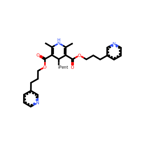 CCCC(C)C1C(C(=O)OCCCc2cccnc2)=C(C)NC(C)=C1C(=O)OCCCc1cccnc1